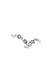 CC1(Cn2cc(COc3ccc(C(F)(F)F)cc3)nn2)Cn2cc([N+](=O)[O-])nc2O1